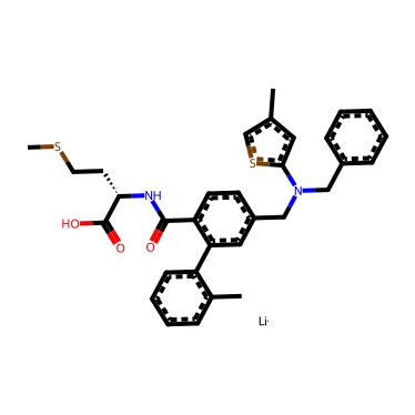 CSCC[C@H](NC(=O)c1ccc(CN(Cc2ccccc2)c2cc(C)cs2)cc1-c1ccccc1C)C(=O)O.[Li]